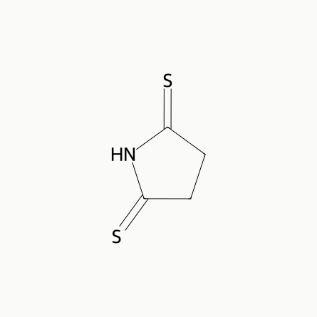 S=C1CCC(=S)N1